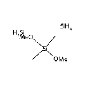 CO[Si](C)(C)OC.[SiH4].[SiH4]